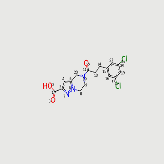 O=C(O)c1cc2n(n1)CCN(C(=O)CCc1cc(Cl)cc(Cl)c1)C2